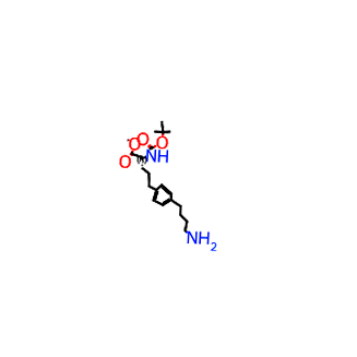 COC(=O)[C@@H](CCCc1ccc(CCCCN)cc1)NC(=O)OC(C)(C)C